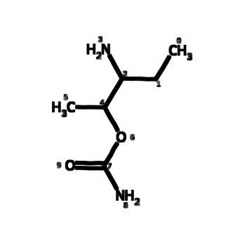 CCC(N)C(C)OC(N)=O